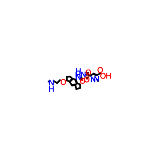 CNCCCOC1CCc2c1cc1c(c2NC(=O)NS(=O)(=O)c2cc(C(=O)O)n(C)n2)CCC1